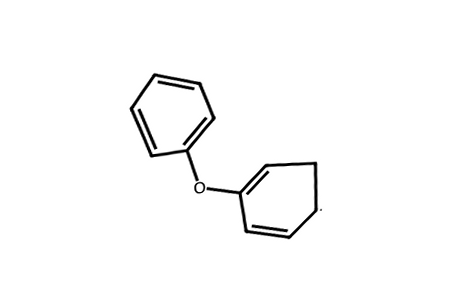 [CH]1C=CC(Oc2ccccc2)=CC1